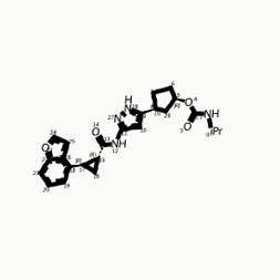 CC(C)NC(=O)O[C@@H]1CC[C@H](c2cc(NC(=O)[C@@H]3C[C@H]3c3cccc4occc34)n[nH]2)C1